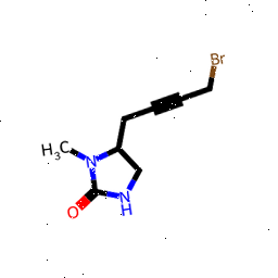 CN1C(=O)NCC1CC#CCBr